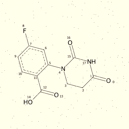 O=C1CCN(c2cc(F)ccc2C(=O)O)C(=O)N1